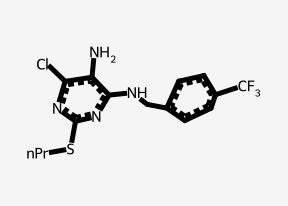 CCCSc1nc(Cl)c(N)c(NCc2ccc(C(F)(F)F)cc2)n1